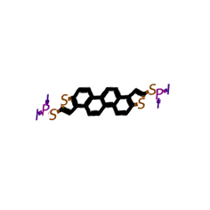 IP(I)Sc1cc2c(ccc3c2ccc2c4ccc5sc(SP(I)I)cc5c4ccc32)s1